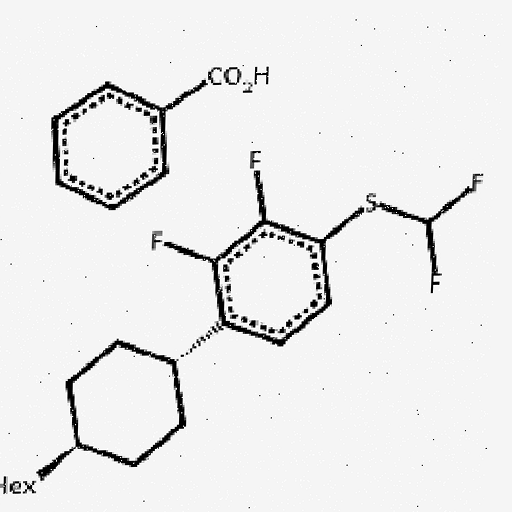 CCCCCC[C@H]1CC[C@H](c2ccc(SC(F)F)c(F)c2F)CC1.O=C(O)c1ccccc1